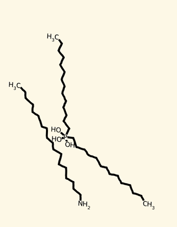 CCCCCCCCCCCCCCCCCCN.CCCCCCCCCCCCCCP(O)(O)(O)CCCCCCCCCCCCCC